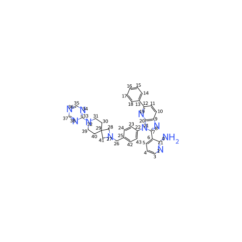 Nc1ncccc1-c1nc2ccc(-c3ccccc3)nc2n1-c1ccc(CN2CC3(CCN(c4ncncn4)CC3)C2)cc1